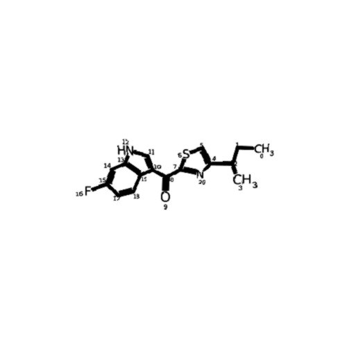 CCC(C)c1csc(C(=O)c2c[nH]c3cc(F)ccc23)n1